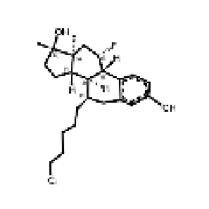 C[C@]1(O)CC[C@H]2[C@@H]3[C@H](CCCCCCl)Cc4cc(O)ccc4[C@H]3[C@@H](F)C[C@@]21C